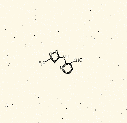 O=Cc1cccnc1Nc1cc(C(F)(F)F)on1